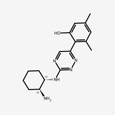 Cc1cc(C)c(-c2cnc(N[C@H]3CCCC[C@@H]3N)nn2)c(O)c1